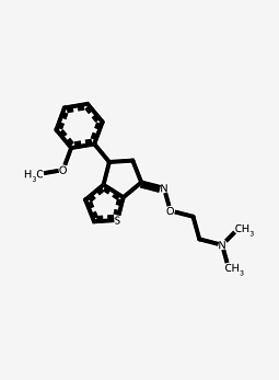 COc1ccccc1C1CC(=NOCCN(C)C)c2sccc21